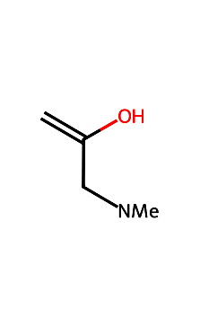 C=C(O)CNC